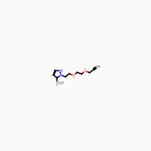 C#CCOCCOCCN1NC=CC1C(=O)O